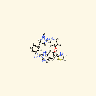 Cn1cc(-c2cccc(Nc3ncc4cc(-c5nccs5)c(OC5CCNCC5)cc4n3)c2)cn1